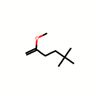 C=C(CCC(C)(C)C)OC